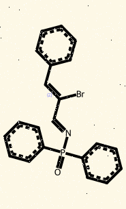 O=P(N=C/C(Br)=C/c1ccccc1)(c1ccccc1)c1ccccc1